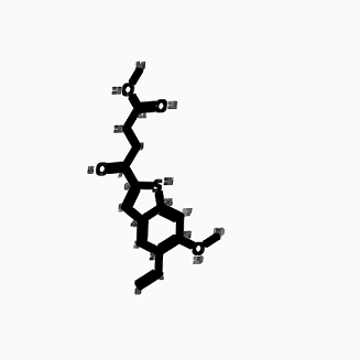 C=Cc1cc2cc(C(=O)CCC(=O)OC)sc2cc1OC